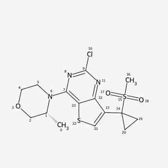 C[C@@H]1COCCN1c1nc(Cl)nc2c(C3(S(C)(=O)=O)CC3)csc12